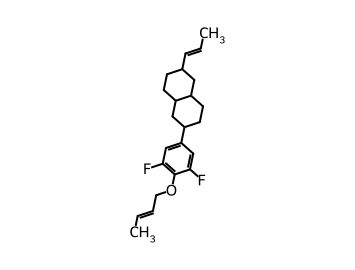 CC=CCOc1c(F)cc(C2CCC3CC(C=CC)CCC3C2)cc1F